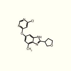 Cc1cc(Oc2cc(Cl)ncn2)cc2[nH]c(C3CCOC3)nc12